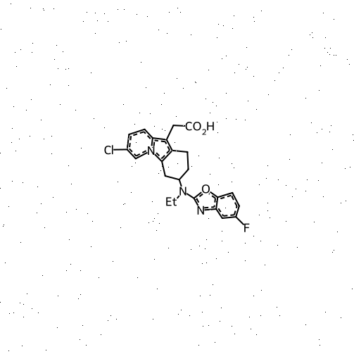 CCN(c1nc2cc(F)ccc2o1)C1CCc2c(CC(=O)O)c3ccc(Cl)cn3c2C1